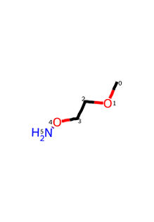 COCCON